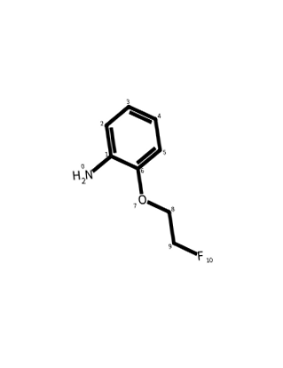 Nc1ccccc1OCCF